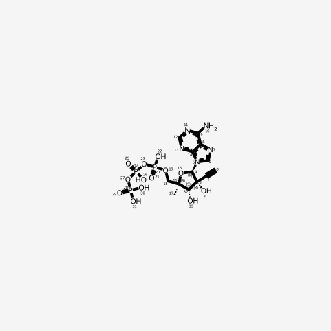 C#C[C@]1(O)[C@H](n2cnc3c(N)ncnc32)O[C@](C)(COP(=O)(O)OP(=O)(O)OP(=O)(O)O)[C@H]1O